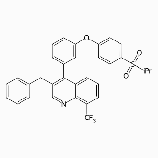 CC(C)S(=O)(=O)c1ccc(Oc2cccc(-c3c(Cc4ccccc4)cnc4c(C(F)(F)F)cccc34)c2)cc1